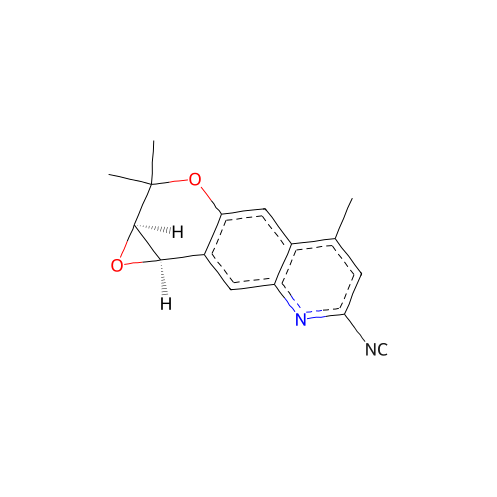 [C-]#[N+]c1cc(C)c2cc3c(cc2n1)[C@H]1O[C@H]1C(C)(C)O3